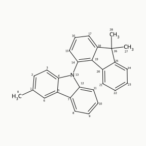 Cc1ccc2c(c1)c1ccccc1n2-c1cccc2c1-c1ccccc1C2(C)C